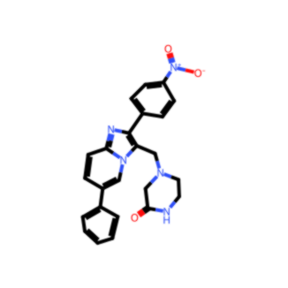 O=C1CN(Cc2c(-c3ccc([N+](=O)[O-])cc3)nc3ccc(-c4ccccc4)cn23)CCN1